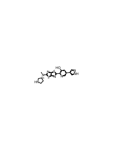 CN(c1nc2sc(-c3ncc(-c4cn[nH]c4)cc3O)nc2s1)[C@@H]1CCNC1